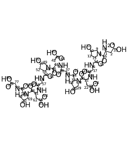 N[C@@H](CC(=O)O)C(=O)N1C[C@H](O)C[C@H]1C(=O)NCC(=O)N[C@@H](CC(=O)O)C(=O)N1C[C@H](O)C[C@H]1C(=O)NCC(=O)N[C@@H](CC(=O)O)C(=O)N1C[C@H](O)C[C@H]1C(=O)NCC(=O)N[C@@H](CC(=O)O)C(=O)N1C[C@H](O)C[C@H]1C(=O)NCC(=O)O